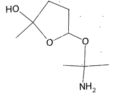 CC(C)(N)OC1CCC(C)(O)O1